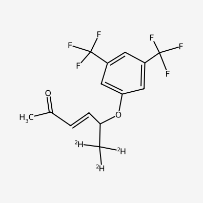 [2H]C([2H])([2H])C(/C=C/C(C)=O)Oc1cc(C(F)(F)F)cc(C(F)(F)F)c1